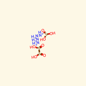 N.N.N.N.O=S(O)O.O=S(O)S(=O)O